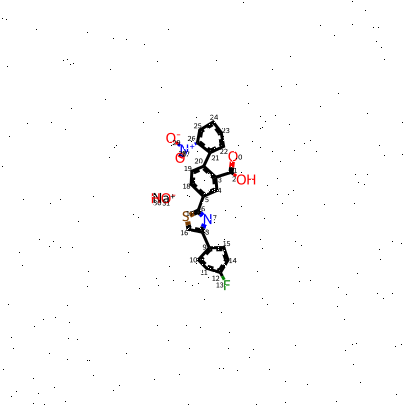 O=C(O)c1cc(-c2nc(-c3ccc(F)cc3)cs2)ccc1-c1ccccc1[N+](=O)[O-].[Na+].[OH-]